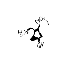 COc1ccc(O)cc1CN